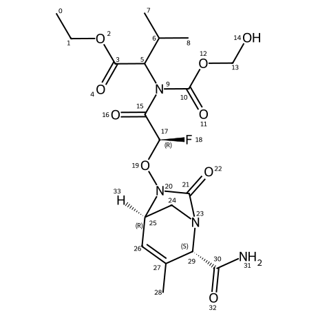 CCOC(=O)C(C(C)C)N(C(=O)OCO)C(=O)[C@@H](F)ON1C(=O)N2C[C@H]1C=C(C)[C@H]2C(N)=O